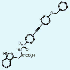 O=C(O)[C@@H](Cc1c[nH]c2ccccc12)NS(=O)(=O)c1ccc(C#Cc2ccc(OCc3ccccc3)cc2)cc1